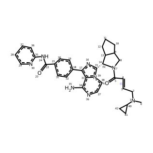 CN(C/C=C/C(=O)N1CC2CCCC2[C@H]1c1nc(-c2ccc(C(=O)Nc3ccccn3)cc2)c2c(N)nccn12)C1CC1